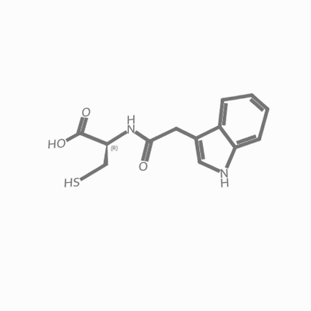 O=C(Cc1c[nH]c2ccccc12)N[C@@H](CS)C(=O)O